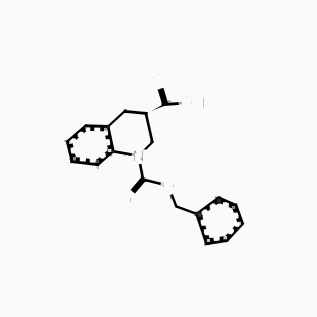 O=C(O)[C@@H]1Cc2ccccc2N(C(=O)OCc2ccccc2)C1